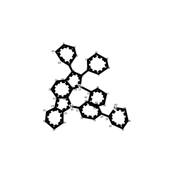 c1ccc(-c2c(-c3ccccc3)n(-c3ccccc3)c3c2ccc2c4ccccc4n(-c4ccc(-c5ccccn5)cc4)c23)cc1